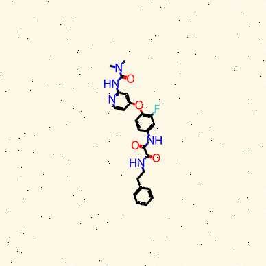 CN(C)C(=O)Nc1cc(Oc2ccc(NC(=O)C(=O)NCCc3ccccc3)cc2F)ccn1